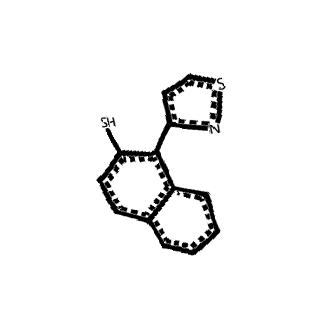 Sc1ccc2ccccc2c1-c1ccsn1